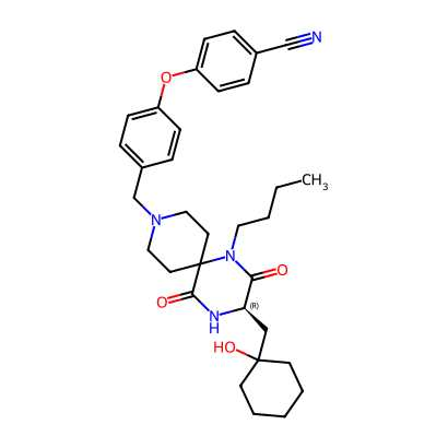 CCCCN1C(=O)[C@@H](CC2(O)CCCCC2)NC(=O)C12CCN(Cc1ccc(Oc3ccc(C#N)cc3)cc1)CC2